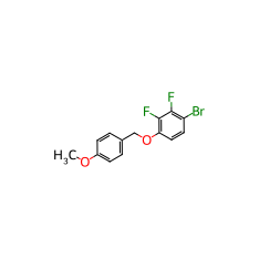 COc1ccc(COc2ccc(Br)c(F)c2F)cc1